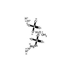 O.O.O=P([O-])([O-])[O-].O=P([O-])([O-])[O-].[H+].[H+].[H+].[H+].[Mg+2]